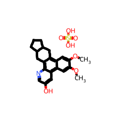 COc1cc2c3c(c4ncc(O)cc4c2cc1OC)CC1CCCC1C3.O=S(=O)(O)O